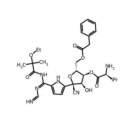 CCOC(C)(C)C(=O)N/C(=N/C=N)c1ccc([C@]2(C#N)O[C@H](COC(=O)Cc3ccccc3)[C@@H](OC(=O)[C@@H](N)C(C)C)[C@H]2O)[nH]1